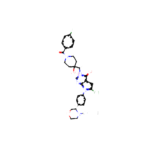 O=C(c1ccc(Cl)cc1)N1CCC(O)(Cn2cnc3c(cc(Cl)n3-c3ccc([C@@H]4COCCN4C(=O)O)cc3)c2=O)CC1